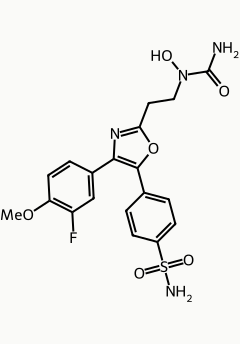 COc1ccc(-c2nc(CCN(O)C(N)=O)oc2-c2ccc(S(N)(=O)=O)cc2)cc1F